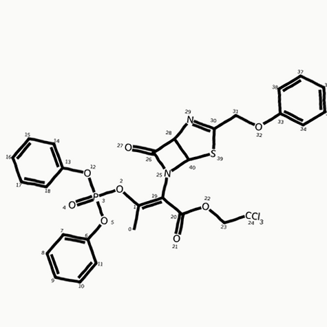 CC(OP(=O)(Oc1ccccc1)Oc1ccccc1)=C(C(=O)OCC(Cl)(Cl)Cl)N1C(=O)C2N=C(COc3ccccc3)SC21